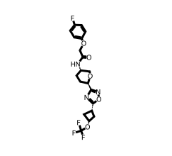 O=C(COc1ccc(F)cc1)N[C@H]1CC[C@H](c2noc([C@H]3C[C@@H](OC(F)(F)F)C3)n2)OC1